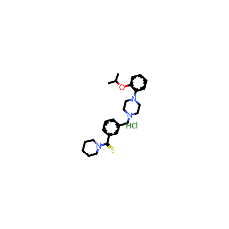 CC(C)Oc1ccccc1N1CCN(Cc2cccc(C(=S)N3CCCCC3)c2)CC1.Cl